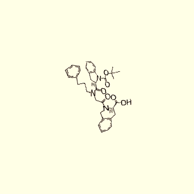 CC(C)(C)OC(=O)N1c2ccccc2C[C@@H]1C(=O)N(CCCc1ccccc1)CC(=O)N1Cc2ccccc2C[C@@H]1C(=O)O